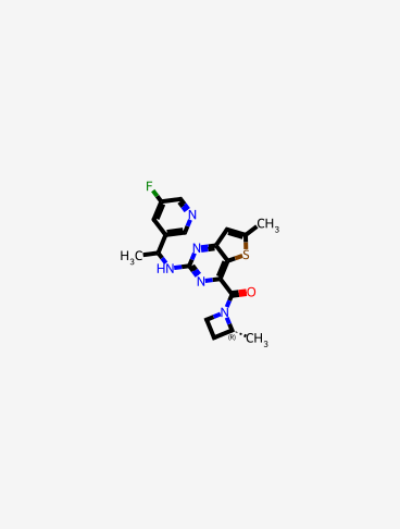 Cc1cc2nc(NC(C)c3cncc(F)c3)nc(C(=O)N3CC[C@H]3C)c2s1